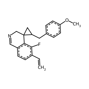 C=Cc1ccc2c(c1F)C1(CN=C2)CC1Cc1ccc(OC)cc1